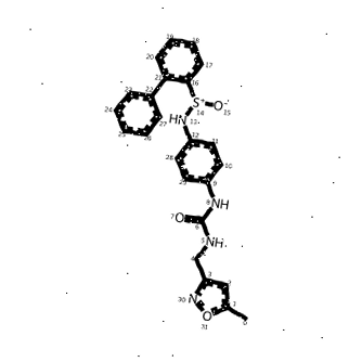 Cc1cc(CNC(=O)Nc2ccc(N[S+]([O-])c3ccccc3-c3ccccc3)cc2)no1